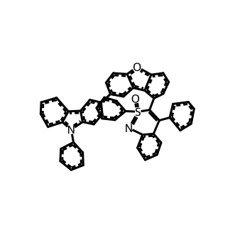 O=S1(c2ccccc2)=Nc2ccccc2C(c2ccccc2)=C1c1cccc2oc3ccc(-c4ccc5c(c4)c4ccccc4n5-c4ccccc4)cc3c12